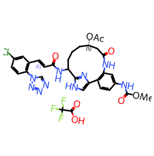 COC(=O)Nc1ccc2c(c1)NC(=O)C[C@@H](OC(C)=O)CCCC(NC(=O)/C=C/c1cc(Cl)ccc1-n1cnnn1)c1nc-2c[nH]1.O=C(O)C(F)(F)F